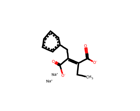 CCC(C(=O)[O-])=C(Cc1ccccc1)C(=O)[O-].[Na+].[Na+]